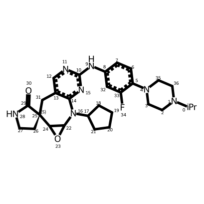 CC(C)N1CCN(c2ccc(Nc3ncc4c(n3)N(C3CCCC3)C3OC3[C@@]3(CCNC3=O)C4)cc2F)CC1